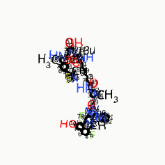 C#Cc1c(F)ccc2cc(O)cc(-c3ncc4c(N5CC6CCC(C5)N6)nc(OC[C@@H]5C[C@@H](NC(=O)CCCCCCC(=O)NC(C(=O)N6C[C@H](O)CC6C(=O)N[C@@H](C)c6ccc(-c7scnc7C)cc6)C(C)(C)C)CN5C)nc4c3F)c12